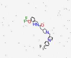 O=C(CC1CCN(Cc2ccn(-c3ccc(C(F)(F)F)cc3)c2)CC1)NCc1cccc(OC(F)F)c1